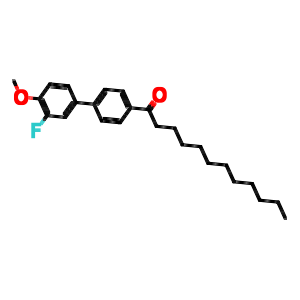 CCCCCCCCCCCC(=O)c1ccc(-c2ccc(OC)c(F)c2)cc1